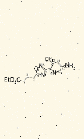 CCOC(=O)CCCc1nc(-c2ncc(N)cc2Cl)no1